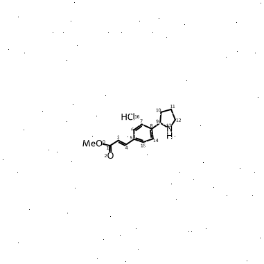 COC(=O)/C=C/c1ccc(C2CCCN2)cc1.Cl